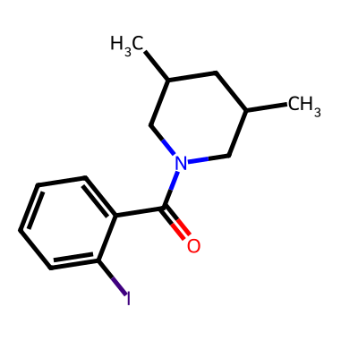 CC1CC(C)CN(C(=O)c2ccccc2I)C1